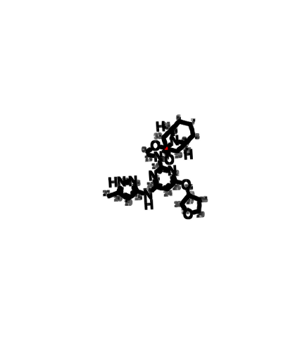 COC(=O)N1[C@@H]2CCC[C@H]1C[C@H](N(C)c1nc(Nc3cc(C)[nH]n3)cc(O[C@H]3CCOC3)n1)C2